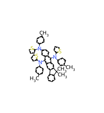 Cc1ccc(N(c2ccc3c(N(c4ccc(C)cc4)c4cccs4)c4cc5c(cc4c(N(c4ccc(C)cc4)c4cccs4)c3c2)-c2ccccc2C5(C)C)c2cccs2)cc1